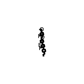 CCCC1CCC(c2ccc(-c3ccc(COc4ccc(C5CO5)cc4F)cc3)c(F)c2F)CC1